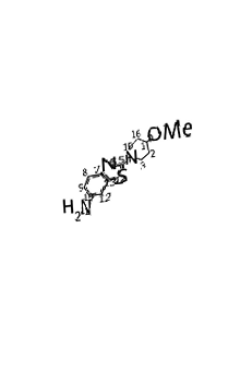 COC1CCN(c2nc3ccc(N)cc3s2)CC1